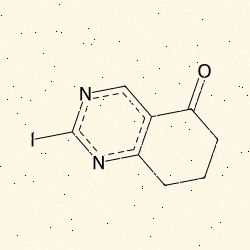 O=C1CCCc2nc(I)ncc21